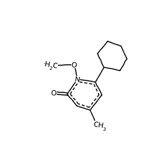 [CH2]On1c(C2CCCCC2)cc(C)cc1=O